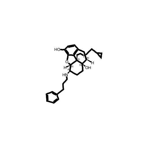 Oc1ccc2c3c1O[C@H]1[C@H](NCCCc4ccccc4)CC[C@@]4(O)[C@@H](C2)N(CC2CC2)CC[C@]314